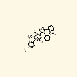 COc1cccc(OC)c1-n1c(N[S+]([O-])[C@@H](C)C(C)c2ncc(C)cn2)nnc1-c1ccccn1